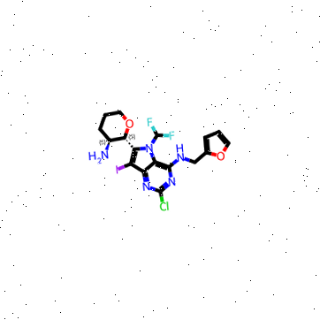 N[C@H]1CCCO[C@@H]1c1c(I)c2nc(Cl)nc(NCc3ccco3)c2n1C(F)F